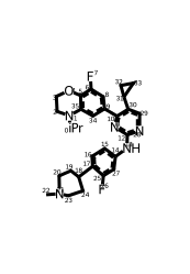 CC(C)N1CCOc2c(F)cc(-c3nc(Nc4ccc(C5CCN(C)CC5)c(F)c4)ncc3C3CC3)cc21